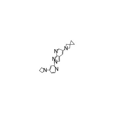 c1cc(N2CCC2)cc(-n2cc3cc(N4CC5(CC5)C4)cnc3n2)n1